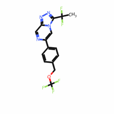 CC(F)(F)c1nnc2cnc(-c3ccc(COC(F)(F)F)cc3)cn12